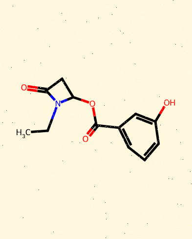 CCN1C(=O)CC1OC(=O)c1cccc(O)c1